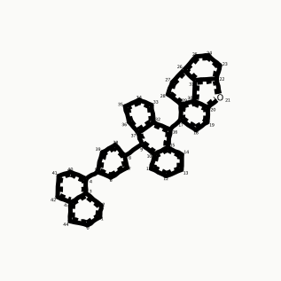 c1ccc2c(-c3ccc(-c4c5ccccc5c(-c5ccc6oc7cccc8ccc5c6c87)c5ccccc45)cc3)cccc2c1